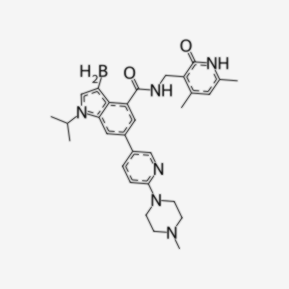 Bc1cn(C(C)C)c2cc(-c3ccc(N4CCN(C)CC4)nc3)cc(C(=O)NCc3c(C)cc(C)[nH]c3=O)c12